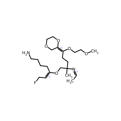 C/C=N\C(C)(CC/C(OCCOC)=C1\COCCO1)CO/C(=C/CF)CCCCN